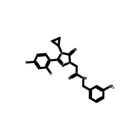 O=C(Cn1nc(-c2ccc(F)cc2F)n(C2CC2)c1=O)NCc1cccc(C(F)(F)F)c1